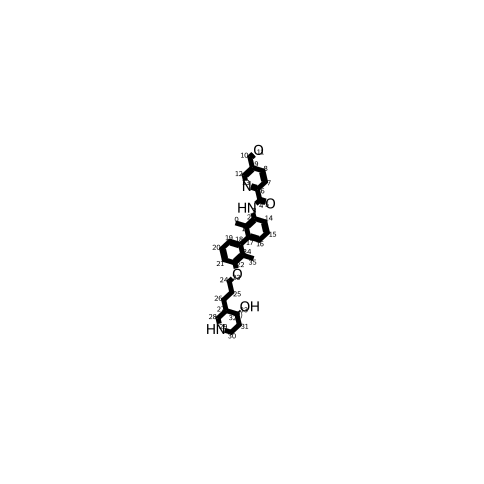 Cc1c(NC(=O)c2ccc(C=O)cn2)cccc1-c1cccc(OCCCC2CNCC[C@H]2O)c1C